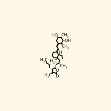 C=C1/C(=C\C=C2/CCC[C@]3(C)[C@@H]([C@H](C)C[C@@H]4OC(=O)C(=C)[C@@H]4CCCC)CC[C@@H]23)C[C@@H](O)[C@H](C)[C@@H]1O